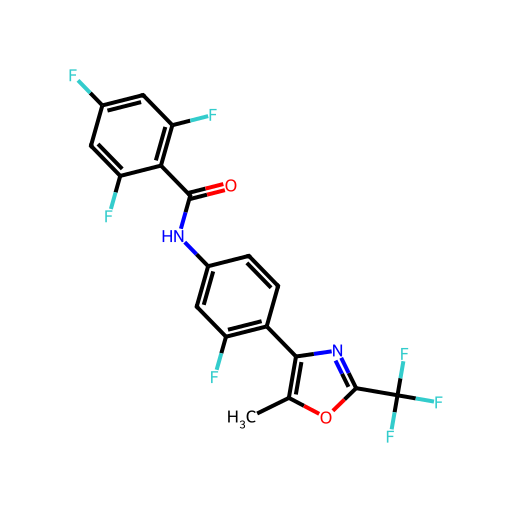 Cc1oc(C(F)(F)F)nc1-c1ccc(NC(=O)c2c(F)cc(F)cc2F)cc1F